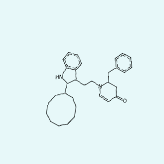 O=C1C=CN(CCC2c3ccccc3NC2C2CCCCCCCCC2)C(Cc2ccccc2)C1